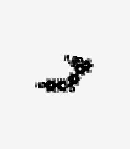 NS(=O)(=O)c1cc(-c2ccc(C(=O)N3CCC(c4ccc(O)cc4)CC3)cc2)cc2cccnc12